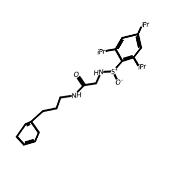 CC(C)c1cc(C(C)C)c([S+]([O-])NCC(=O)NCCCC2=CCC=CC2)c(C(C)C)c1